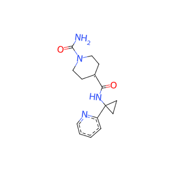 NC(=O)N1CC[C](C(=O)NC2(c3ccccn3)CC2)CC1